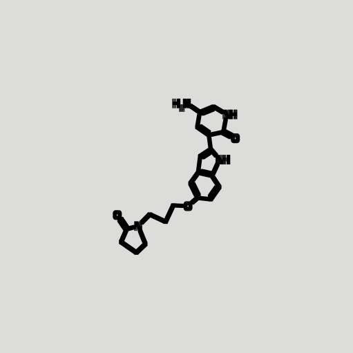 Nc1c[nH]c(=O)c(-c2cc3cc(OCCCN4CCCC4=O)ccc3[nH]2)c1